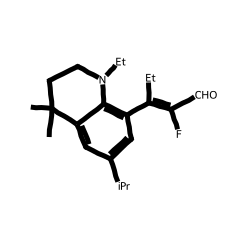 CCC(=C(F)C=O)c1cc(C(C)C)cc2c1N(CC)CCC2(C)C